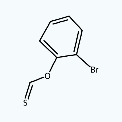 S=COc1ccccc1Br